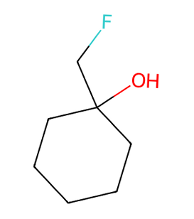 OC1(CF)CCCCC1